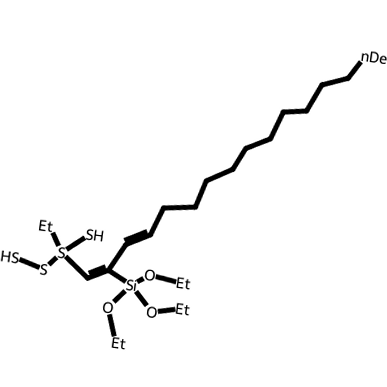 CCCCCCCCCCCCCCCCCCCCC=CC(=CS(S)(CC)SS)[Si](OCC)(OCC)OCC